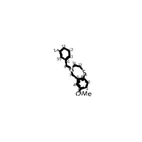 COc1ccc2c(c1)CN(CC1=CCCC=C1)CCS2